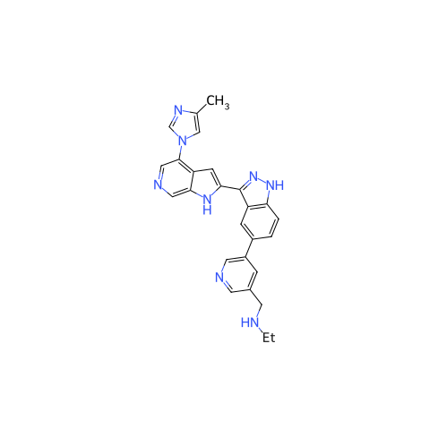 CCNCc1cncc(-c2ccc3[nH]nc(-c4cc5c(-n6cnc(C)c6)cncc5[nH]4)c3c2)c1